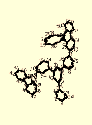 c1ccc(-c2cc(-c3cccc(-c4ccc5c6ccccc6c6ccccc6c5c4)c3)cc(-c3cccc(-n4c5ccccc5c5ccccc54)c3)c2)cc1